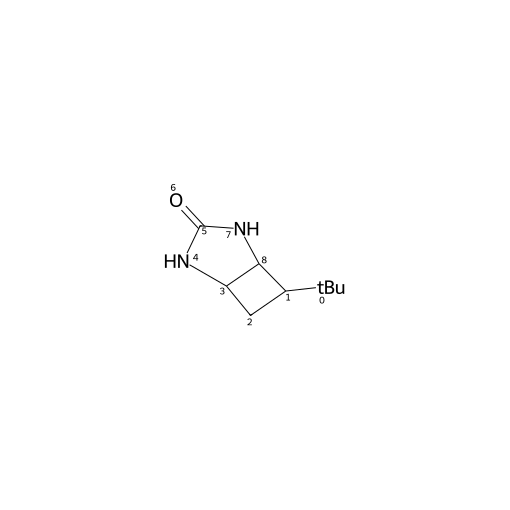 CC(C)(C)C1CC2NC(=O)NC21